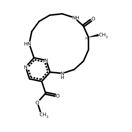 COC(=O)c1cnc2nc1NCCC[C@H](C)C(=O)NCCCCN2